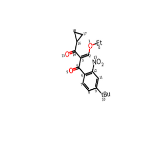 CCOC=C(C(=O)c1ccc(C(C)(C)C)cc1[N+](=O)[O-])C(=O)C1CC1